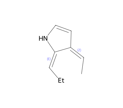 C/C=c1/cc[nH]/c1=C/CC